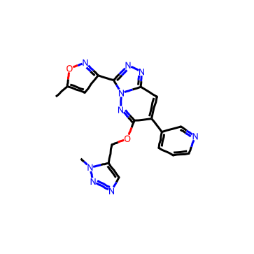 Cc1cc(-c2nnc3cc(-c4cccnc4)c(OCc4cnnn4C)nn23)no1